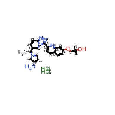 CC(C)(O)COc1ccc2ccc(-c3nnc4ccc([C@@H](N5CC[C@H](N)C5)C(F)(F)F)cn34)nc2c1.Cl.Cl